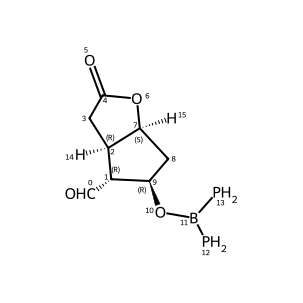 O=C[C@@H]1[C@H]2CC(=O)O[C@H]2C[C@H]1OB(P)P